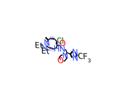 C=C1/C=C\C(Cl)=C(\C(=O)NCC(c2cnc(C(F)(F)F)nc2)N2CCOCC2)C/C=C\C(N(CC)CC)=N/1